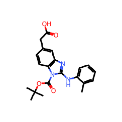 Cc1ccccc1Nc1nc2cc(CC(=O)O)ccc2n1C(=O)OC(C)(C)C